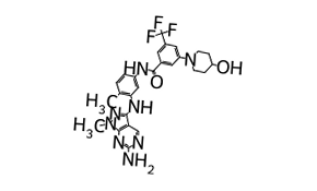 Cc1ccc(NC(=O)c2cc(N3CCC(O)CC3)cc(C(F)(F)F)c2)cc1Nc1nn(C)c2nc(N)ncc12